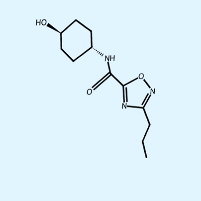 CCCc1noc(C(=O)N[C@H]2CC[C@H](O)CC2)n1